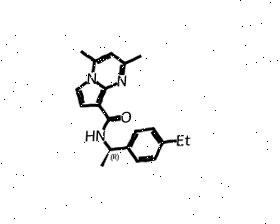 CCc1ccc([C@@H](C)NC(=O)c2ccn3c(C)cc(C)nc23)cc1